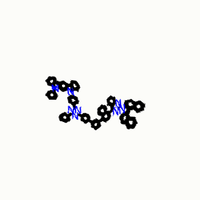 c1ccc(-c2nc(-c3ccc(-c4cccc(-c5ccc(-c6nc(-n7c8ccc9ccccc9c8c8c9ccccc9ccc87)nc7ccccc67)c6ccccc56)c4)cc3)nc(-c3ccc(-n4c5ccccc5c5cc6c7ccccc7n(-c7ccccc7)c6cc54)cc3)n2)cc1